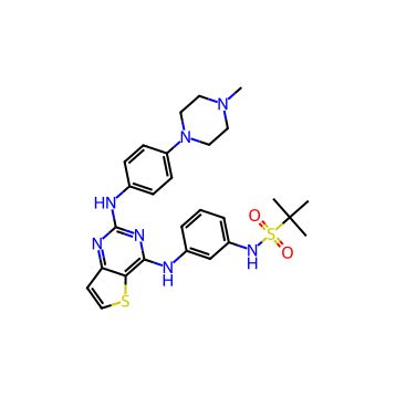 CN1CCN(c2ccc(Nc3nc(Nc4cccc(NS(=O)(=O)C(C)(C)C)c4)c4sccc4n3)cc2)CC1